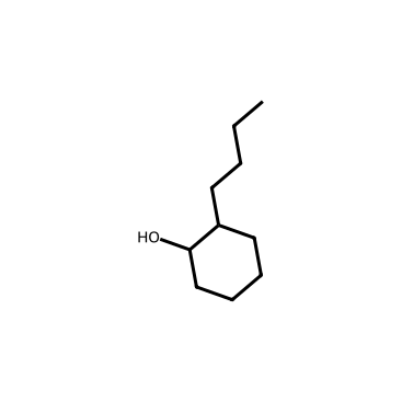 CCCCC1CCCCC1O